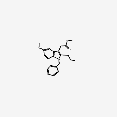 CCCc1c(CC(=O)OC)c2cc(OC)ccc2n1Cc1ccccc1